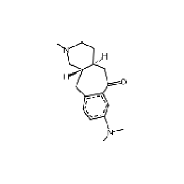 CN1CC[C@H]2CC(=O)c3cc(N(C)C)ccc3C[C@@H]2C1